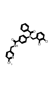 O=C(NCc1ccc(C(F)(F)F)nc1)c1ccc(N(Cc2cccc(Cl)c2Cl)C(=O)c2ccccc2)cc1